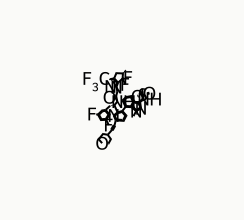 C[C@@H]1Cc2c(C(F)(F)F)nn(CC(=O)N[C@@H](Cc3cc(F)cc(F)c3)c3nc(C#CC4CCOCC4)ccc3-c3cccc4c(NS(C)(=O)=O)nn(C)c34)c2C1(F)F